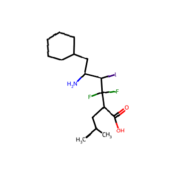 CC(C)CC(C(=O)O)C(F)(F)C(I)C(N)CC1CCCCC1